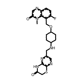 Cn1c(=O)cnc2ccc(F)c(COC3CCC(NCc4cnc5c(n4)NC(=O)CS5)CC3)c21